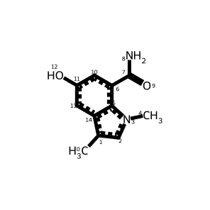 Cc1cn(C)c2c(C(N)=O)cc(O)cc12